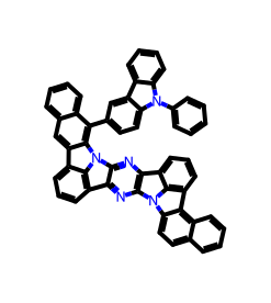 c1ccc(-n2c3ccccc3c3cc(-c4c5ccccc5cc5c6cccc7c8nc9c(nc8n(c45)c67)c4cccc5c6c7ccccc7ccc6n9c45)ccc32)cc1